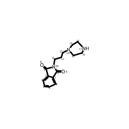 O=C1c2ccccc2C(=O)N1CCCN1CCNCC1